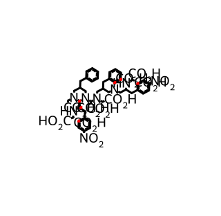 O=C(O)CN(CC(Cc1ccccc1)CN(CC(=O)O)C(C(=O)O)N(CC(=O)O)CC(Cc1ccccc1)CN(CC(=O)O)CC(Cc1ccc([N+](=O)[O-])cc1)NC(C(=O)O)C(=O)O)CC(Cc1ccc([N+](=O)[O-])cc1)NC(C(=O)O)C(=O)O